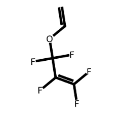 C=COC(F)(F)C(F)=C(F)F